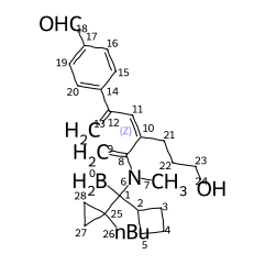 BC(C1CCC1)(N(C)C(=C)/C(=C\C(=C)c1ccc(C=O)cc1)CCCO)C1(CCCC)CC1